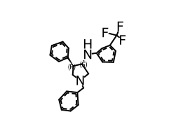 FC(F)(F)c1cccc(N[C@@H]2CN(Cc3ccccc3)C[C@H]2c2ccccc2)c1